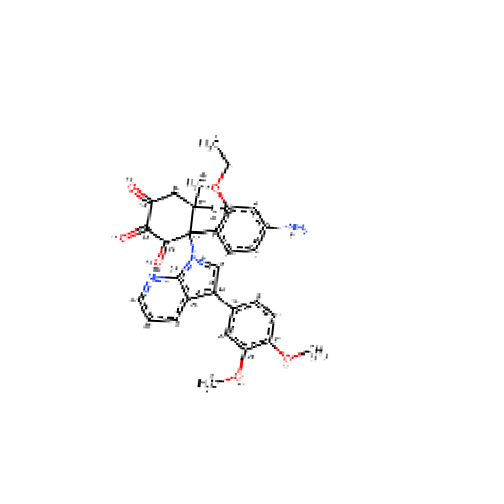 CCOc1cc(N)ccc1C1(n2cc(-c3ccc(OC)c(OC)c3)c3cccnc32)C(=O)C(=O)C(=O)CC1(C)C